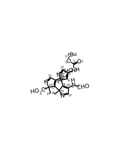 CC(C)(C)OC(=O)NC1=CC(C)(C2=C(NC=O)C=NC2(C)C2=C(NC=O)C=NC2(C)C(=O)O)N=C1